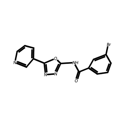 O=C(Nc1nnc(-c2cccnc2)o1)c1cccc(Br)c1